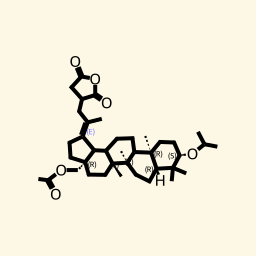 CC(=O)OC[C@]12CC/C(=C(/C)CC3CC(=O)OC3=O)C1C1CCC3[C@@]4(C)CC[C@H](OC(C)C)C(C)(C)[C@@H]4CC[C@@]3(C)[C@]1(C)CC2